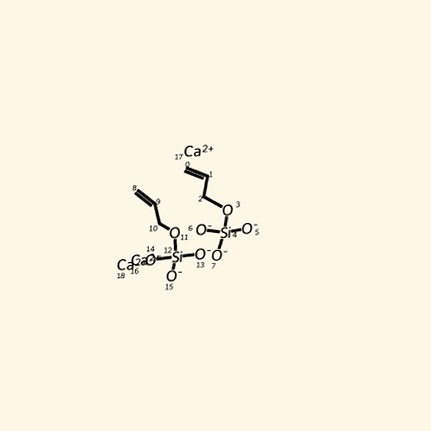 C=CCO[Si]([O-])([O-])[O-].C=CCO[Si]([O-])([O-])[O-].[Ca+2].[Ca+2].[Ca+2]